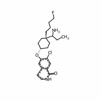 CCC(N)[C@]1(CCCCF)CC[C@H](Oc2cc3cc[nH]c(=O)c3cc2Cl)CC1